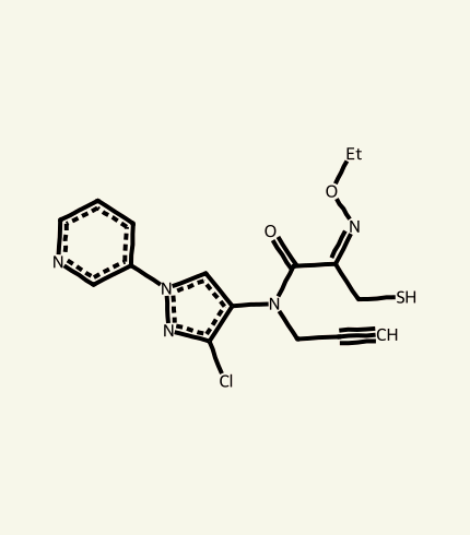 C#CCN(C(=O)/C(CS)=N\OCC)c1cn(-c2cccnc2)nc1Cl